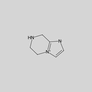 C1=C[N+]2=C(CNCC2)[N]1